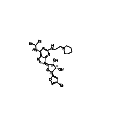 CCc1cc([C@H]2O[C@@H](n3cnc4c(NC(CC)CC)nc(NCCN5CCCCC5)nc43)[C@H](O)[C@@H]2O)on1